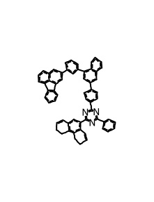 C1=Cc2cc(-c3nc(-c4ccccc4)nc(-c4ccc(-c5cc(-c6cccc(-c7cc8c9c(cccc9c7)-c7ccccc7-8)c6)c6ccccc6c5)cc4)n3)c3c(c2CC1)CCC=C3